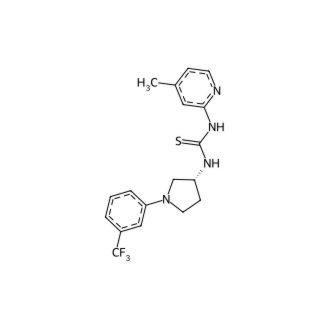 Cc1ccnc(NC(=S)N[C@@H]2CCN(c3cccc(C(F)(F)F)c3)C2)c1